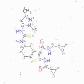 CCn1nc(C)cc1NC(=S)N[C@H]1CCc2sc(NC(=O)C3CC3)c(C(=O)NCC3CC3)c2C1